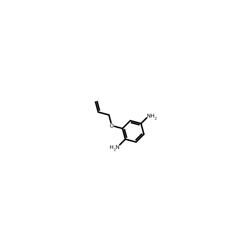 C=CCOc1cc(N)ccc1N